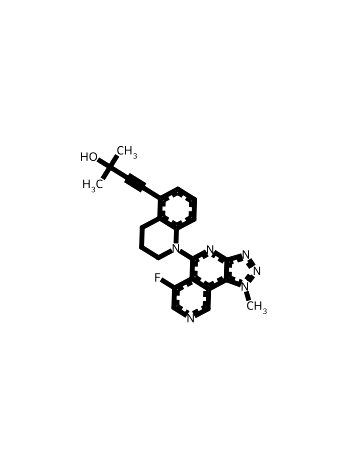 Cn1nnc2nc(N3CCCc4c(C#CC(C)(C)O)cccc43)c3c(F)cncc3c21